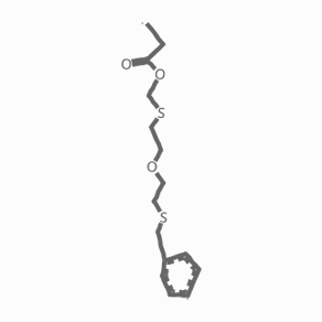 [CH2]CC(=O)OCSCCOCCSCc1cc[c]cc1